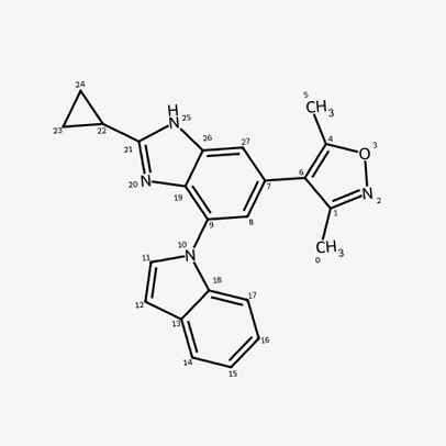 Cc1noc(C)c1-c1cc(-n2ccc3ccccc32)c2nc(C3CC3)[nH]c2c1